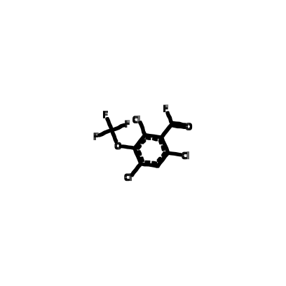 O=C(F)c1c(Cl)cc(Cl)c(OC(F)(F)F)c1Cl